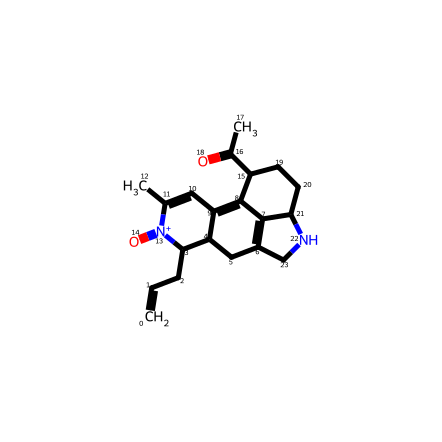 C=CCC1C2CC3=C4C(=C2C=C(C)[N+]1=O)C(C(C)=O)CCC4NC3